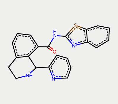 O=C(Nc1nc2ccccc2s1)c1cccc2c1C(c1ccccn1)NCC2